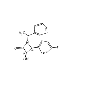 CC(c1ccccc1)N1C(=O)[C@H](O)[C@@H]1c1ccc(F)cc1